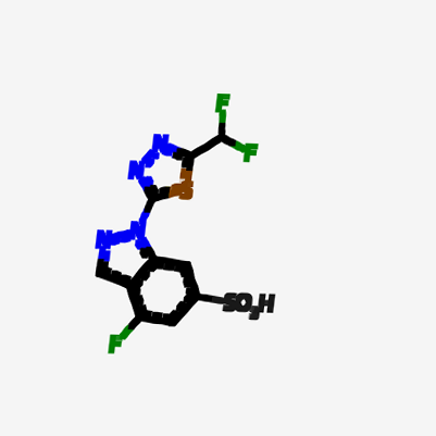 O=S(=O)(O)c1cc(F)c2cnn(-c3nnc(C(F)F)s3)c2c1